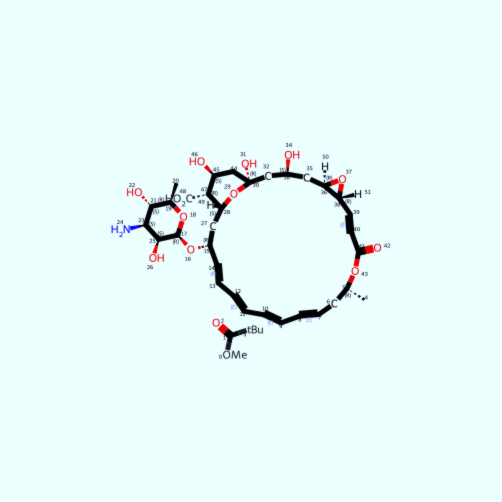 COC(=O)C(C)(C)C.C[C@@H]1C/C=C/C=C/C=C/C=C/[C@H](O[C@@H]2O[C@H](C)[C@@H](O)[C@H](N)[C@@H]2O)C[C@@H]2O[C@](O)(C[C@@H](O)C[C@H]3O[C@@H]3/C=C/C(=O)O1)C[C@H](O)[C@H]2C(=O)O